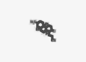 CC[C@]12CC[C@H]3C(CCC#N)C(=O)CCC3[C@@]1(CC)CC[C@H](C)C2